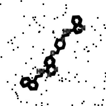 c1ccc2c(CCNc3ncnc4cc(OCC5CCN(CCNc6ccnc7ccccc67)CC5)ccc34)cccc2c1